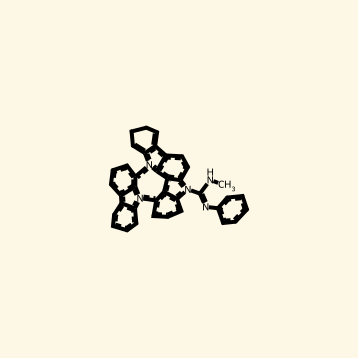 CN/C(=N\c1ccccc1)n1c2ccc3c4c(n5c6cccc7c8ccccc8n(c8cccc1c8c2c35)c76)=CCCC=4